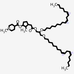 CCCCC/C=C\C/C=C\CCCCCCCCOCC(COC(=O)CC1CCC(OC(=O)C2CCN(C)CC2)C1C)OCCCCCCCC/C=C\C/C=C\CCCCC